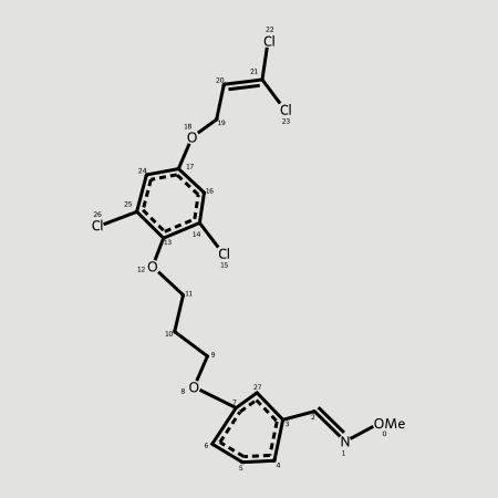 CON=Cc1cccc(OCCCOc2c(Cl)cc(OCC=C(Cl)Cl)cc2Cl)c1